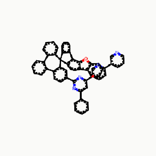 c1ccc(-c2cc(-c3ccc(-c4cccnc4)nc3)nc(-c3ccc4c(c3)C3(c5ccccc5-c5ccccc5-4)c4ccccc4-c4c3ccc3c4oc4ccccc43)n2)cc1